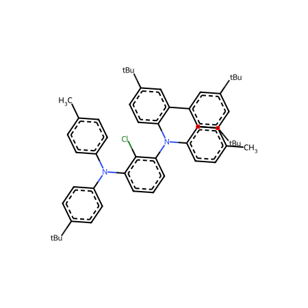 Cc1ccc(N(c2ccc(C(C)(C)C)cc2)c2cccc(N(c3ccc(C)cc3)c3ccc(C(C)(C)C)cc3-c3cc(C(C)(C)C)cc(C(C)(C)C)c3)c2Cl)cc1